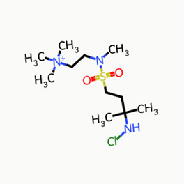 CN(CC[N+](C)(C)C)S(=O)(=O)CCC(C)(C)NCl